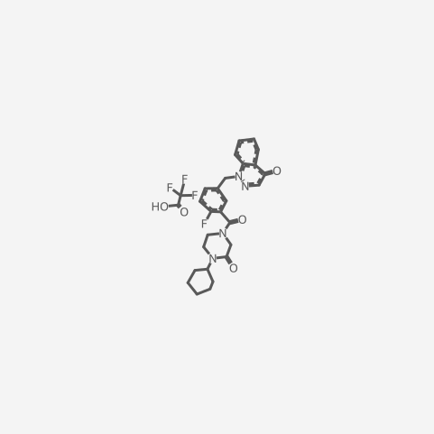 O=C(O)C(F)(F)F.O=C(c1cc(Cn2ncc(=O)c3ccccc32)ccc1F)N1CCN(C2CCCCC2)C(=O)C1